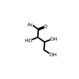 CC(=O)C(=O)C(O)C(O)CO